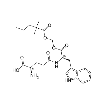 CCCC(C)(C)C(=O)OCOC(=O)[C@@H](Cc1c[nH]c2ccccc12)NC(=O)CC[C@@H](N)C(=O)O